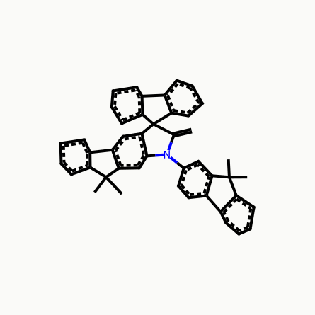 C=C1N(c2ccc3c(c2)C(C)(C)c2ccccc2-3)c2cc3c(cc2C12c1ccccc1-c1ccccc12)-c1ccccc1C3(C)C